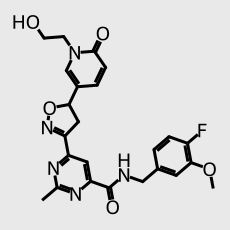 COc1cc(CNC(=O)c2cc(C3=NOC(c4ccc(=O)n(CCO)c4)C3)nc(C)n2)ccc1F